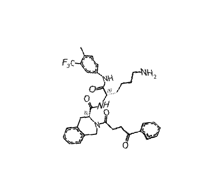 Cc1ccc(NC(=O)[C@H](CCCCN)NC(=O)[C@@H]2Cc3ccccc3CN2C(=O)CCC(=O)c2ccccc2)cc1C(F)(F)F